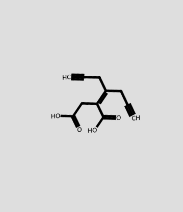 C#CCC(CC#C)=C(CC(=O)O)C(=O)O